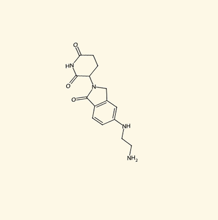 NCCNc1ccc2c(c1)CN(C1CCC(=O)NC1=O)C2=O